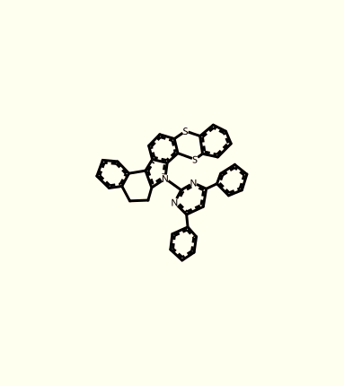 c1ccc(-c2cc(-c3ccccc3)nc(-n3c4c(c5ccc6c(c53)Sc3ccccc3S6)-c3ccccc3CC4)n2)cc1